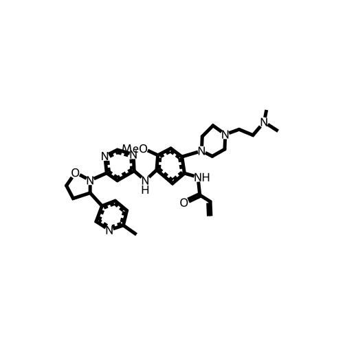 C=CC(=O)Nc1cc(Nc2cc(N3OCCC3c3ccc(C)nc3)ncn2)c(OC)cc1N1CCN(CCN(C)C)CC1